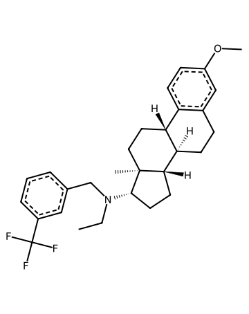 CCN(Cc1cccc(C(F)(F)F)c1)[C@H]1CC[C@H]2[C@@H]3CCc4cc(OC)ccc4[C@H]3CC[C@]12C